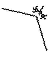 CCCCC1=C(c2cc(CC)c(CC)c(CC)c2)[N+](=[N-])C(c2cc(CC)c(CC)c(CC)c2)=C1.CCCCCCCCCCCCCCCCCCCCCCCCC[CH2][Ni][CH2]CCCCCCCCCCCCCCCCCCCCCCCCC